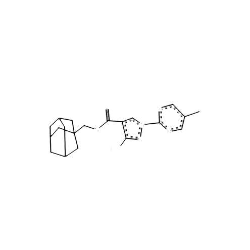 O=C(NCC12CC3CC(CC(C3)C1)C2)c1cn(-c2ncc(F)cn2)nc1C(F)(F)F